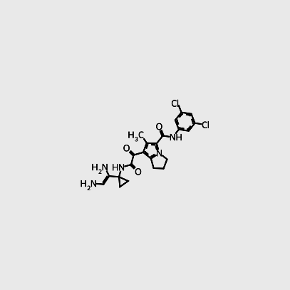 Cc1c(C(=O)C(=O)NC2(/C(N)=C/N)CC2)c2n(c1C(=O)Nc1cc(Cl)cc(Cl)c1)CCC2